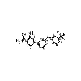 Cc1cc(-c2cccc(Cc3cccc(C(F)(F)F)c3)n2)ccc1C(N)=O